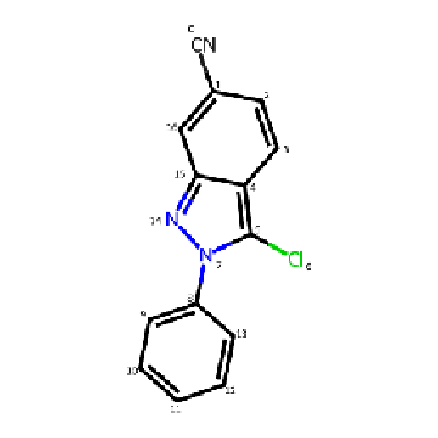 N#Cc1ccc2c(Cl)n(-c3ccccc3)nc2c1